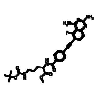 COC(=O)[C@H](CCCNC(=O)OC(C)(C)C)NC(=O)c1ccc(C#Cc2ccc3nc(N)nc(N)c3c2F)cc1